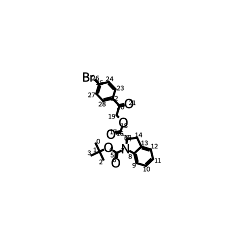 CC(C)(C)OC(=O)N1c2ccccc2C[C@H]1C(=O)OCC(=O)c1ccc(Br)cc1